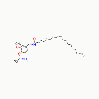 CCCCCCCC/C=C\CCCCCCCC(=O)NCc1ccc(OC(N)C2CC2)c(OC)c1